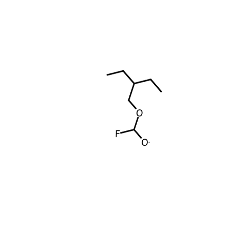 CCC(CC)COC([O])F